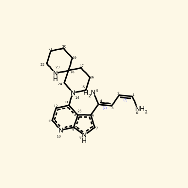 N/C=C\C=C(/N)c1c[nH]c2nccc(N3CCCC4(CCCCN4)C3)c12